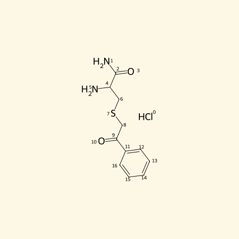 Cl.NC(=O)C(N)CSCC(=O)c1ccccc1